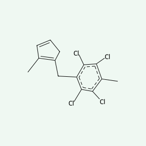 CC1=C(Cc2c(Cl)c(Cl)c(C)c(Cl)c2Cl)CC=C1